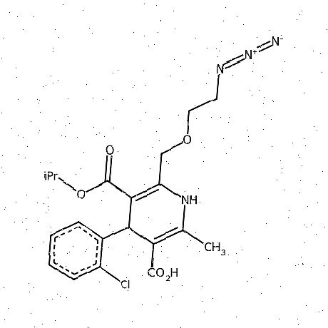 CC1=C(C(=O)O)C(c2ccccc2Cl)C(C(=O)OC(C)C)=C(COCCN=[N+]=[N-])N1